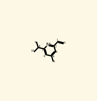 C=Cc1cc(C)cc(C(C)C)n1